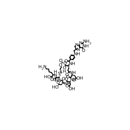 NCCCCC(NC(=O)[C@H](CSSCCOC=O)NC(=O)[C@H](CC(=O)O)NC(=O)[C@H](CC(=O)O)NC(=O)[C@H](CC(=O)O)NC(=O)CC[C@H](NC(=O)c1ccc(NCc2cnc3nc(N)[nH]c(=O)c3n2)cc1)C(=O)O)C(=O)O